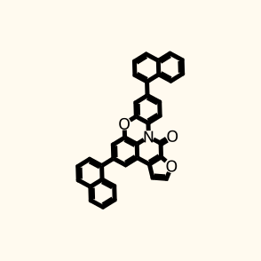 O=c1c2occc2c2cc(-c3cccc4ccccc34)cc3c2n1-c1ccc(-c2cccc4ccccc24)cc1O3